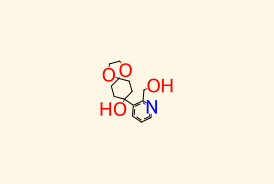 OCc1ncccc1C1(O)CCC2(CC1)OCCO2